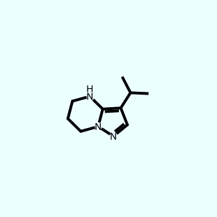 CC(C)c1cnn2c1NCCC2